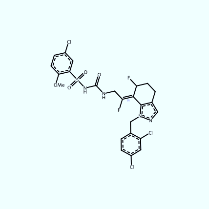 COc1ccc(Cl)cc1S(=O)(=O)NC(=O)NC/C(F)=C1/c2c(cnn2Cc2ccc(Cl)cc2Cl)CCC1F